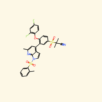 Cc1cc(-c2cc(S(=O)(=O)C(C)(C)C#N)ccc2Oc2ccc(F)cc2F)c2ccn(S(=O)(=O)c3ccccc3C)c2n1